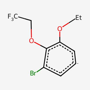 CCOc1c[c]cc(Br)c1OCC(F)(F)F